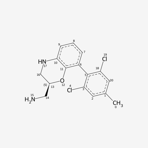 Cc1cc(Cl)c(-c2cccc3c2O[C@@H](CN)CN3)c(Cl)c1